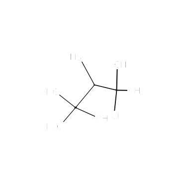 CC(C)(C)C(S)C(C)(C)C